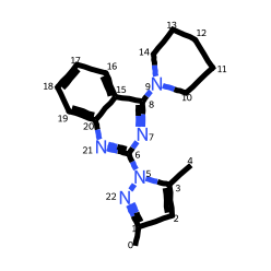 Cc1cc(C)n(-c2nc(N3CCCCC3)c3ccccc3n2)n1